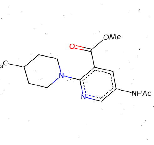 COC(=O)c1cc(NC(C)=O)cnc1N1CCC(C)CC1